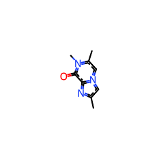 Cc1cn2cc(C)n(C)c(=O)c2n1